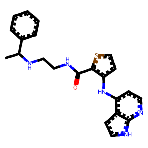 CC(NCCNC(=O)c1sccc1Nc1ccnc2[nH]ccc12)c1ccccc1